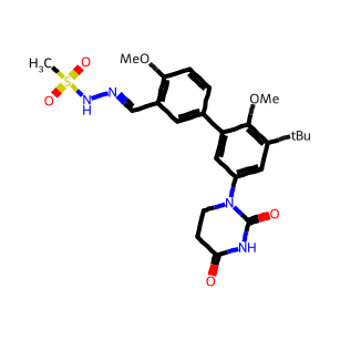 COc1ccc(-c2cc(N3CCC(=O)NC3=O)cc(C(C)(C)C)c2OC)cc1/C=N/NS(C)(=O)=O